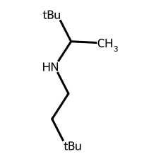 CC(NCCC(C)(C)C)C(C)(C)C